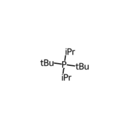 CC(C)[P](C(C)C)(C(C)(C)C)C(C)(C)C